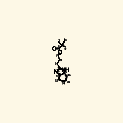 CC(C)(I)C(=O)OCCCc1nc2ccccc2[nH]1